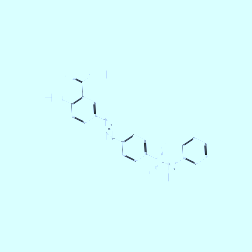 O=C(O)c1cc(/N=N/c2ccc(S(=O)(=O)Nc3ccccc3)cc2)ccc1O